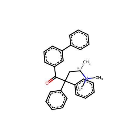 C[C@@H](CC(C(=O)c1cccc(-c2ccccc2)c1)(c1ccccc1)c1ccccc1)N(C)C